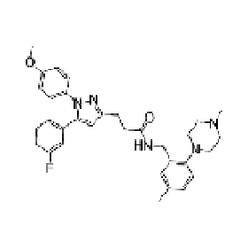 COc1ccc(-n2nc(CCC(=O)NCc3cc(C)ccc3N3CCN(C)CC3)cc2-c2cccc(F)c2)cc1